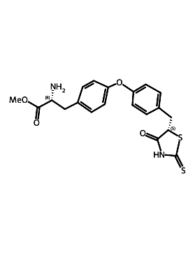 COC(=O)[C@H](N)Cc1ccc(Oc2ccc(C[C@@H]3SC(=S)NC3=O)cc2)cc1